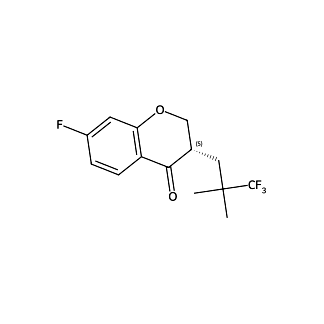 CC(C)(C[C@H]1COc2cc(F)ccc2C1=O)C(F)(F)F